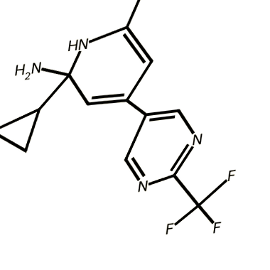 CC1=CC(c2cnc(C(F)(F)F)nc2)=CC(N)(C2CC2)N1